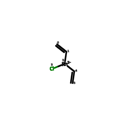 C=[CH][Rh-2]([Cl])[CH]=C